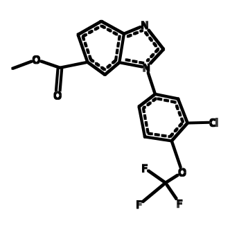 COC(=O)c1ccc2ncn(-c3ccc(OC(F)(F)F)c(Cl)c3)c2c1